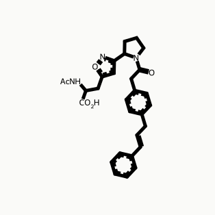 CC(=O)NC(Cc1cc(C2CCCN2C(=O)Cc2ccc(C/C=C/c3ccccc3)cc2)no1)C(=O)O